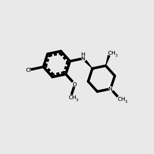 COc1cc(Cl)ccc1N[C@@H]1CCN(C)C[C@@H]1C